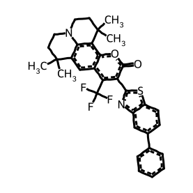 CC1(C)CCN2CCC(C)(C)c3c2c1cc1c(C(F)(F)F)c(-c2nc4cc(-c5ccccc5)ccc4s2)c(=O)oc31